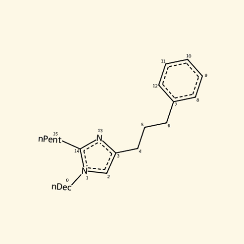 CCCCCCCCCCn1cc(CCCc2ccccc2)nc1CCCCC